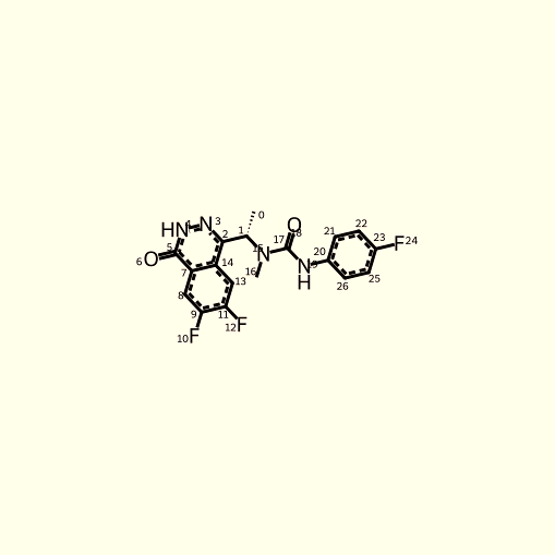 C[C@@H](c1n[nH]c(=O)c2cc(F)c(F)cc12)N(C)C(=O)Nc1ccc(F)cc1